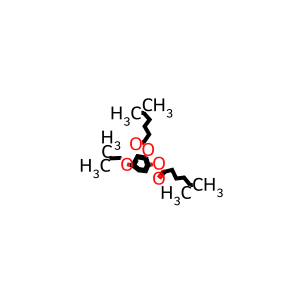 CC(C)CCCC(=O)Oc1ccc(OCC(C)C)cc1OC(=O)CCCC(C)C